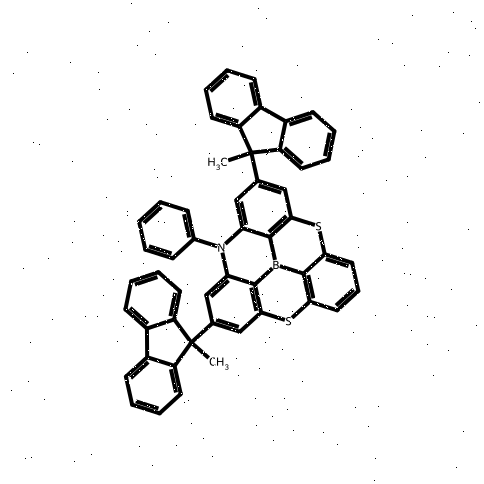 CC1(c2cc3c4c(c2)N(c2ccccc2)c2cc(C5(C)c6ccccc6-c6ccccc65)cc5c2B4c2c(cccc2S5)S3)c2ccccc2-c2ccccc21